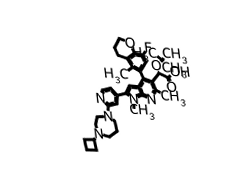 Cc1nc2c(cc(-c3ccnc(N4CCCN(C5CCC5)CC4)c3)n2C)c(-c2cc(F)c3c(c2C)CCCO3)c1[C@H](OC(C)(C)C)C(=O)O